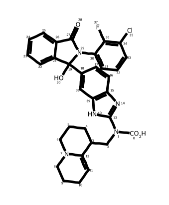 O=C(O)N(CC1CCCN2CCCC=C12)c1nc2ccc(C3(O)c4ccccc4C(=O)N3c3cccc(Cl)c3F)cc2[nH]1